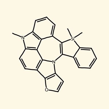 Cn1c2cccc3c4c(n5c6ccoc6c6ccc1c(c32)c65)-c1ccccc1[Si]4(C)C